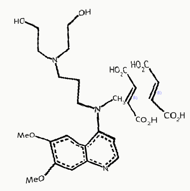 COc1cc2nccc(N(C)CCCN(CCO)CCO)c2cc1OC.O=C(O)/C=C/C(=O)O.O=C(O)/C=C/C(=O)O